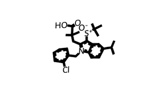 CC(C)c1ccc2c(c1)c([S+]([O-])C(C)(C)C)c(CC(C)(C)C(=O)O)n2Cc1ccccc1Cl